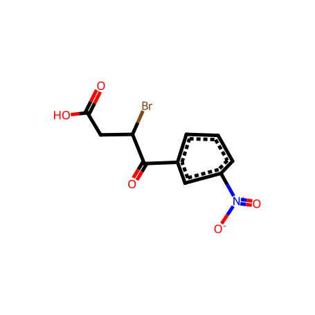 O=C(O)CC(Br)C(=O)c1cccc([N+](=O)[O-])c1